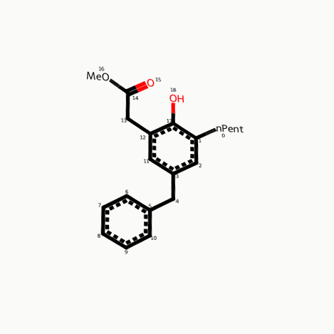 CCCCCc1cc(Cc2ccccc2)cc(CC(=O)OC)c1O